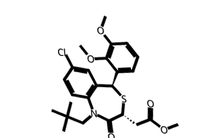 COC(=O)C[C@H]1S[C@H](c2cccc(OC)c2OC)c2cc(Cl)ccc2N(CC(C)(C)C)C1=O